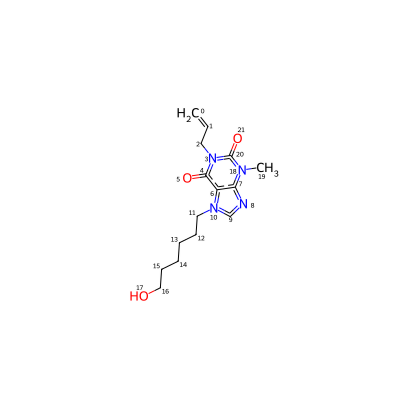 C=CCn1c(=O)c2c(ncn2CCCCCCO)n(C)c1=O